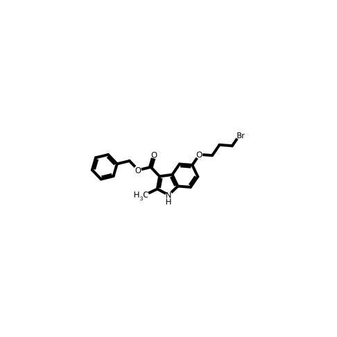 Cc1[nH]c2ccc(OCCCBr)cc2c1C(=O)OCc1ccccc1